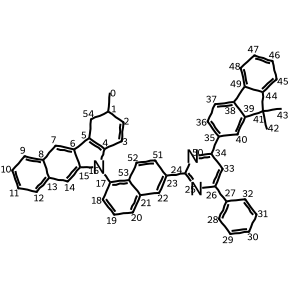 CC1C=Cc2c(c3cc4ccccc4cc3n2-c2cccc3cc(-c4nc(-c5ccccc5)cc(-c5ccc6c(c5)C(C)(C)c5ccccc5-6)n4)ccc23)C1